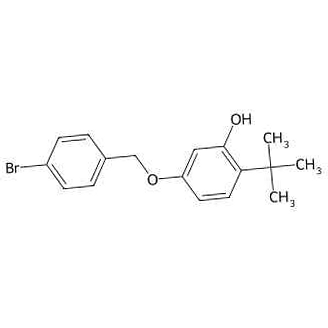 CC(C)(C)c1ccc(OCc2ccc(Br)cc2)cc1O